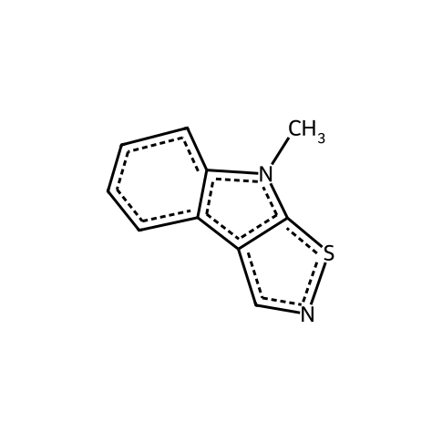 Cn1c2ccccc2c2cnsc21